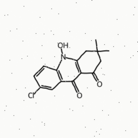 CC1(C)CC(=O)c2c(n(O)c3ccc(Cl)cc3c2=O)C1